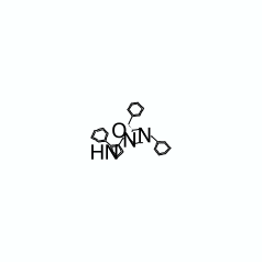 O=C(c1cc[nH]c1-c1ccccc1)N1CCN(Cc2ccccc2)C[C@H]1Cc1ccccc1